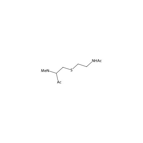 CNC(CSCCNC(C)=O)C(C)=O